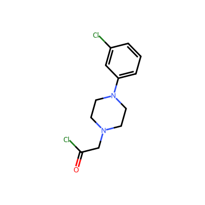 O=C(Cl)CN1CCN(c2cccc(Cl)c2)CC1